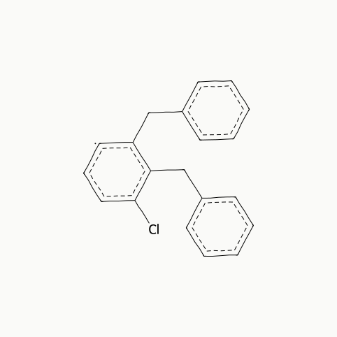 Clc1cc[c]c(Cc2ccccc2)c1Cc1ccccc1